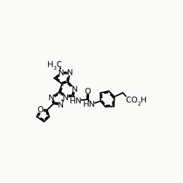 Cn1cc2c(nc(NC(=O)Nc3ccc(CC(=O)O)cc3)n3nc(-c4ccco4)nc23)n1